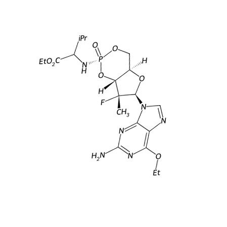 CCOC(=O)C(N[P@]1(=O)OC[C@H]2O[C@@H](n3cnc4c(OCC)nc(N)nc43)[C@](C)(F)[C@@H]2O1)C(C)C